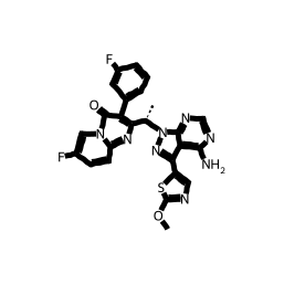 COc1ncc(-c2nn([C@@H](C)c3nc4ccc(F)cn4c(=O)c3-c3cccc(F)c3)c3ncnc(N)c23)s1